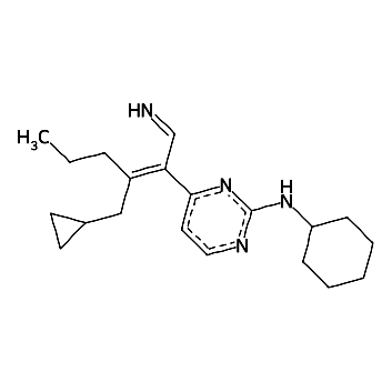 CCC/C(CC1CC1)=C(\C=N)c1ccnc(NC2CCCCC2)n1